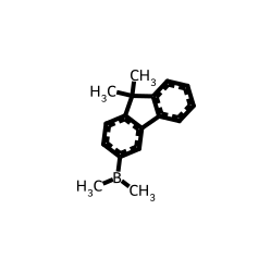 CB(C)c1ccc2c(c1)-c1ccccc1C2(C)C